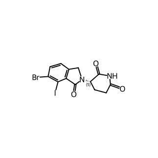 O=C1CC[C@H](N2Cc3ccc(Br)c(I)c3C2=O)C(=O)N1